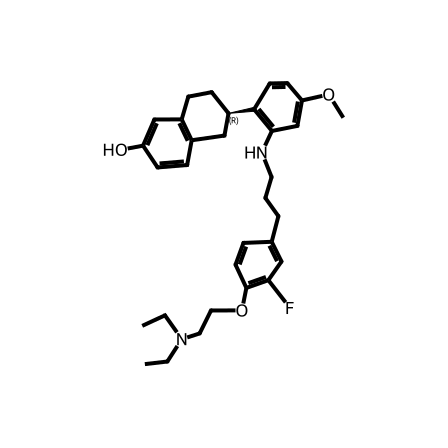 CCN(CC)CCOc1ccc(CCCNc2cc(OC)ccc2[C@@H]2CCc3cc(O)ccc3C2)cc1F